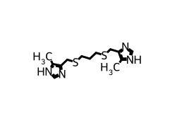 Cc1[nH]cnc1CSCCCSCc1nc[nH]c1C